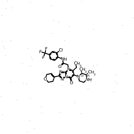 CCc1c(N2CCN[C@H](C)[C@@H]2C)c(=O)n2nc(C3=CCOCC3)nc2n1CC(=O)Nc1ccc(C(F)(F)F)cc1Cl